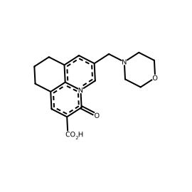 O=C(O)c1cc2c3c(cc(CN4CCOCC4)cn3c1=O)CCC2